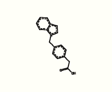 O=C(O)Cc1ccc(Cn2ccc3ccccc32)cc1